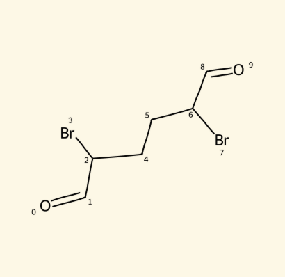 O=CC(Br)CCC(Br)C=O